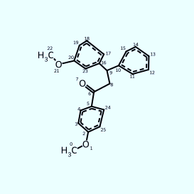 COc1ccc(C(=O)CC(c2ccccc2)c2cccc(OC)c2)cc1